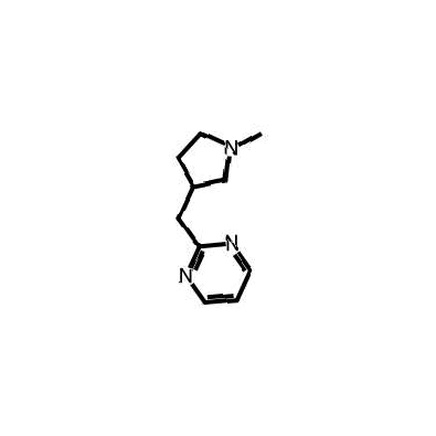 CN1CCC(Cc2ncccn2)C1